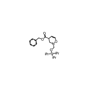 CC(C)[Si](OCN1CC(C(=O)OCc2ccccc2)C=CO1)(C(C)C)C(C)C